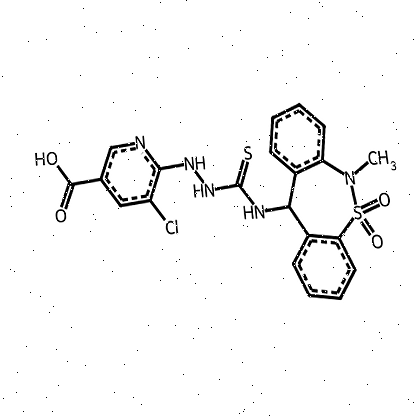 CN1c2ccccc2C(NC(=S)NNc2ncc(C(=O)O)cc2Cl)c2ccccc2S1(=O)=O